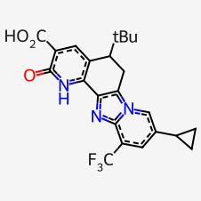 CC(C)(C)C1Cc2c(nc3c(C(F)(F)F)cc(C4CC4)cn23)-c2[nH]c(=O)c(C(=O)O)cc21